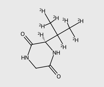 [2H]C([2H])([2H])C([2H])(C([2H])([2H])[2H])[C@@]1([2H])NC(=O)CNC1=O